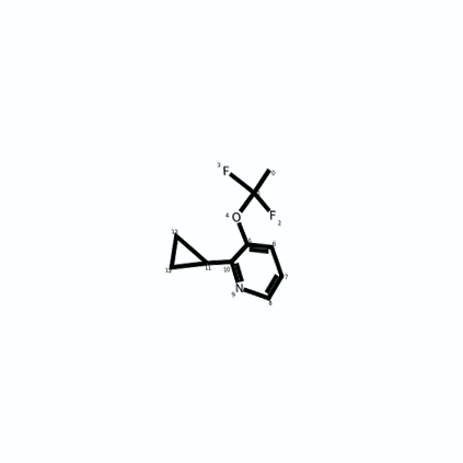 CC(F)(F)Oc1cccnc1C1CC1